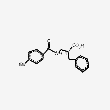 CC(C)(C)c1ccc(C(=O)NC[C@H](Cc2ccccc2)C(=O)O)cc1